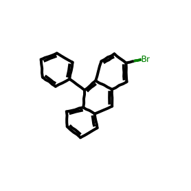 Brc1ccc2c(-c3ccccc3)c3ccccc3cc2c1